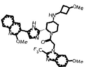 COc1ccc2nc(C(F)(F)F)n(CC(=O)N3CC[C@H](NC4CC(OC)C4)C[C@H]3c3ncc(-c4cc5ccccc5nc4OC)[nH]3)c2c1